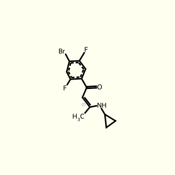 C/C(=C/C(=O)c1cc(F)c(Br)cc1F)NC1CC1